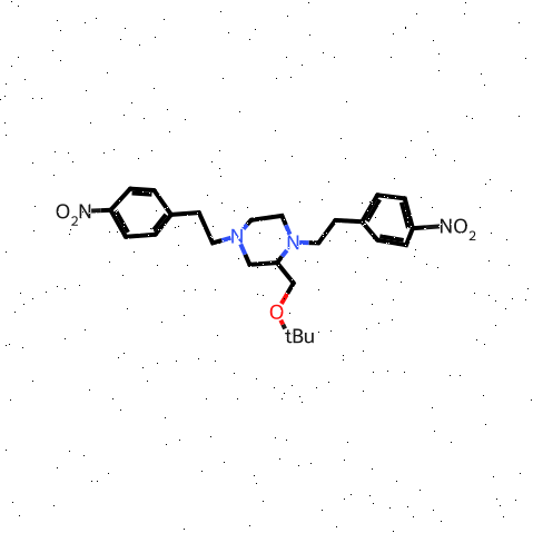 CC(C)(C)OCC1CN(CCc2ccc([N+](=O)[O-])cc2)CCN1CCc1ccc([N+](=O)[O-])cc1